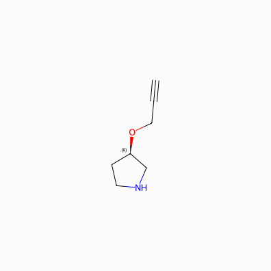 C#CCO[C@@H]1CCNC1